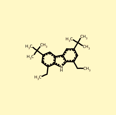 CCc1cc(C(C)(C)C)cc2c1[nH]c1c(CC)cc(C(C)(C)C)cc12